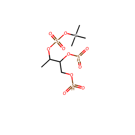 CC(OS(=O)(=O)O[Si](C)(C)C)C(CO[SH](=O)=O)O[SH](=O)=O